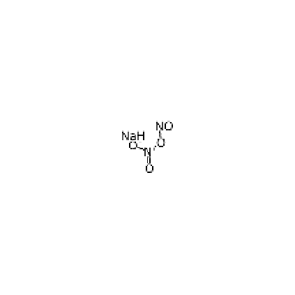 O=NO[N+](=O)[O-].[NaH]